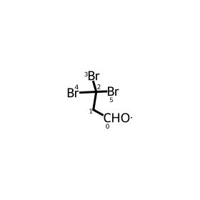 O=[C]CC(Br)(Br)Br